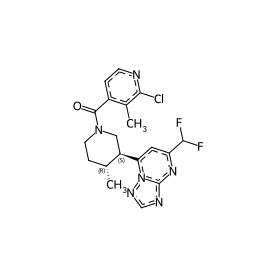 Cc1c(C(=O)N2CC[C@@H](C)[C@H](c3cc(C(F)F)nc4ncnn34)C2)ccnc1Cl